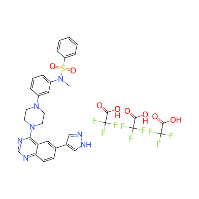 CN(c1cccc(N2CCN(c3ncnc4ccc(-c5cn[nH]c5)cc34)CC2)c1)S(=O)(=O)c1ccccc1.O=C(O)C(F)(F)F.O=C(O)C(F)(F)F.O=C(O)C(F)(F)F